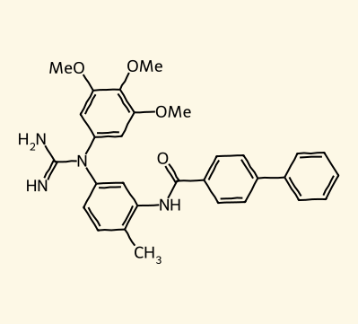 COc1cc(N(C(=N)N)c2ccc(C)c(NC(=O)c3ccc(-c4ccccc4)cc3)c2)cc(OC)c1OC